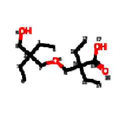 CCC(CC)(CO)COCC(CC)(CC)C(=O)O